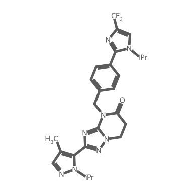 Cc1cnn(C(C)C)c1-c1nc2n(n1)CCC(=O)N2Cc1ccc(-c2nc(C(F)(F)F)cn2C(C)C)cc1